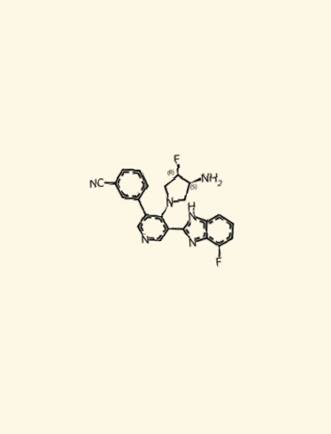 N#Cc1cccc(-c2cncc(-c3nc4c(F)cccc4[nH]3)c2N2C[C@@H](F)[C@@H](N)C2)c1